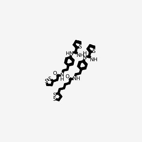 N=C(Nc1ccc(CCNC(=O)CC2CCSS2)cc1)c1cccs1.N=C(Nc1ccc(CCNC(=O)CCCCC2CCSS2)cc1)c1cccs1